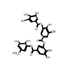 O=C(O)c1cc(O)c(O)c(OC(=O)c2cc(O)c(O)c(OC(=O)c3cc(O)c(O)c(OC(=O)c4cc(O)c(O)c(O)c4)c3)c2)c1